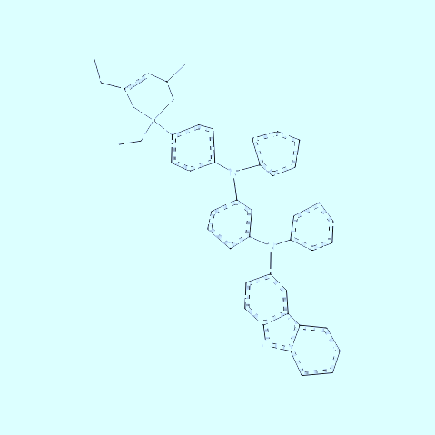 CCC1=CC(C)CC(CC)(c2ccc(N(c3ccccc3)c3cccc(N(c4ccccc4)c4ccc5oc6ccccc6c5c4)c3)cc2)C1